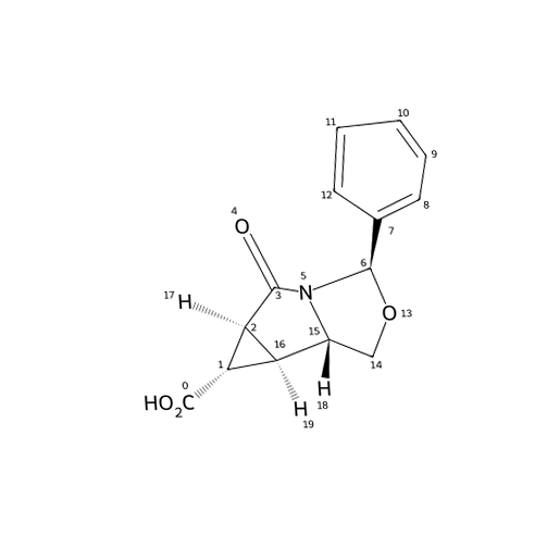 O=C(O)[C@@H]1[C@H]2C(=O)N3[C@@H](c4ccccc4)OC[C@@H]3[C@@H]12